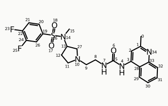 Cc1cc(NC(=O)NCCN2CCC(N(C)S(=O)(=O)c3ccc(F)c(F)c3)C2)c2ccccc2n1